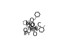 Cc1cccc(NC(=O)[C@H](NC(=O)[C@@H]2CCCN2C(=O)OCc2ccccc2)C(C)C)c1C(=O)O